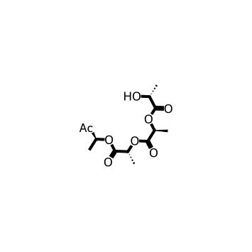 CC(=O)[C@H](C)OC(=O)[C@@H](C)OC(=O)[C@H](C)OC(=O)[C@@H](C)O